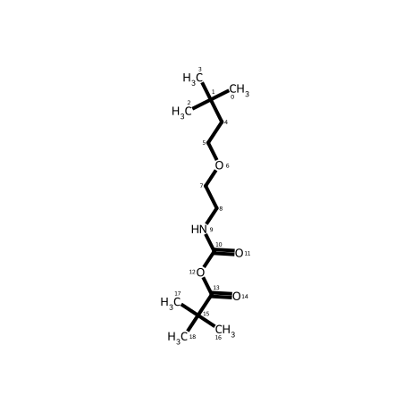 CC(C)(C)CCOCCNC(=O)OC(=O)C(C)(C)C